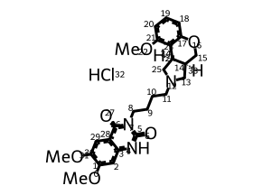 COc1cc2[nH]c(=O)n(CCCCN3C[C@@H]4COc5cccc(OC)c5[C@@H]4C3)c(=O)c2cc1OC.Cl